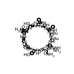 CCCC[C@H]1C(=O)N(C)[C@@H](CCCC)C(=O)N[C@@H](CCCNC(=N)N)C(=O)N[C@H](C(=O)NCC(N)=O)CSCC(=O)N[C@@H](Cc2ccc(O)cc2)C(=O)N(C)[C@@H](C)C(=O)N[C@@H](CO)C(=O)N2CCC[C@H]2C(=O)N[C@@H](Cc2cnc[nH]2)C(=O)N[C@@H](CCC(N)=O)C(=O)N2C[C@H](O)C[C@H]2C(=O)N[C@@H](Cc2c[nH]c3ccccc23)C(=O)N[C@@H](CO)C(=O)N[C@@H](Cc2c[nH]c3ccccc23)C(=O)N1C